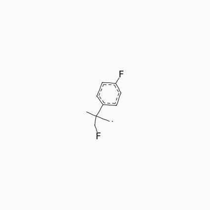 [CH2]C(C)(CF)c1ccc(F)cc1